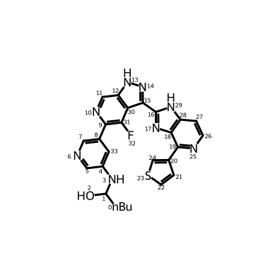 CCCCC(O)Nc1cncc(-c2ncc3[nH]nc(-c4nc5c(-c6ccsc6)nccc5[nH]4)c3c2F)c1